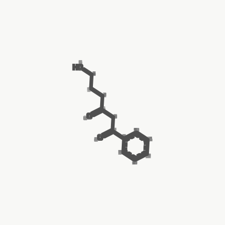 O=C(CCCO)CC(=O)c1ccccc1